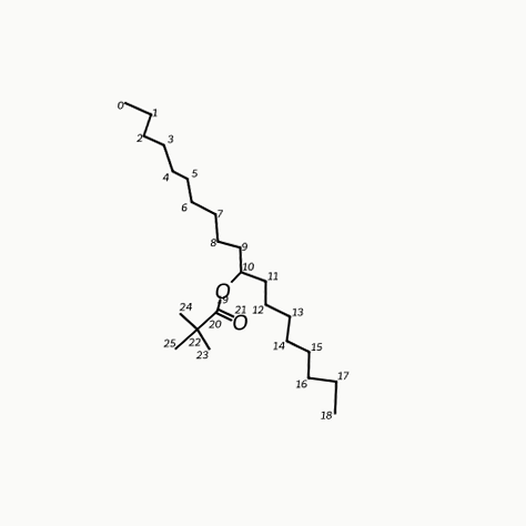 CCCCCCCCCCC(CCCCCCCC)OC(=O)C(C)(C)C